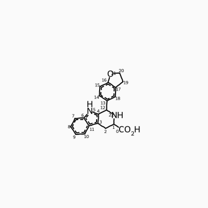 O=C(O)C1Cc2c([nH]c3ccccc23)C(c2ccc3c(c2)CCO3)N1